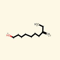 C=C(CC)CCCCCCCO